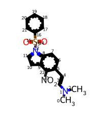 CN(C)C=Cc1ccc2c(ccn2S(=O)(=O)c2ccccc2)c1[N+](=O)[O-]